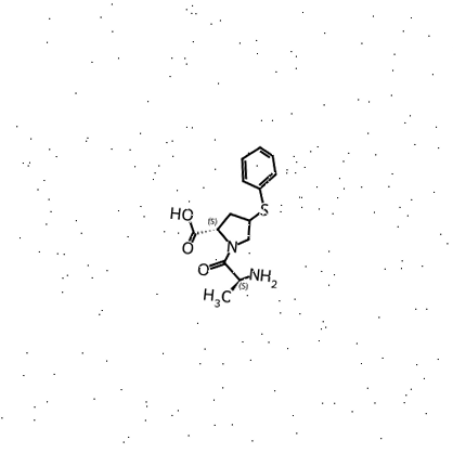 C[C@H](N)C(=O)N1CC(Sc2ccccc2)C[C@H]1C(=O)O